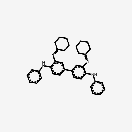 c1ccc(Nc2ccc(-c3ccc(Nc4ccccc4)c(N=C4CCCCC4)c3)cc2N=C2CCCCC2)cc1